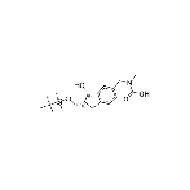 CN(Cc1ccc2c(c1)[C@@H](O)[C@@H](CO[Si](C)(C)C(C)(C)C)C2)C(=O)O